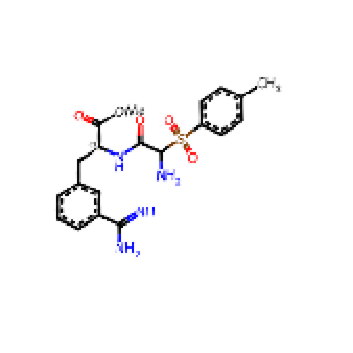 COC(=O)[C@H](Cc1cccc(C(=N)N)c1)NC(=O)C(N)S(=O)(=O)c1ccc(C)cc1